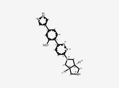 Oc1cc(-c2cn[nH]c2)ccc1-c1ccc(N2C[C@H]3CNC[C@@H]3C2)nn1